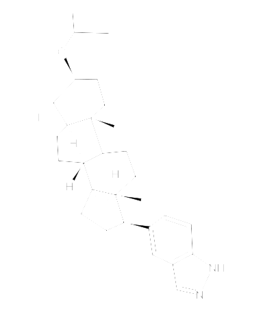 CC(C)O[C@H]1CC[C@@]2(C)[C@@H](CC[C@@H]3[C@@H]2CC[C@]2(C)[C@@H](c4ccc5[nH]ncc5c4)CC[C@@H]32)C1